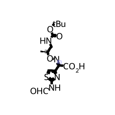 C[C@@H](CNC(=O)OC(C)(C)C)O/N=C(/C(=O)O)c1csc(NC=O)n1